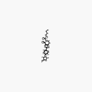 CCCCOC(=O)N1CCc2nc(-c3cnc(N4CC[C@H](F)C4)cn3)sc2C1=O